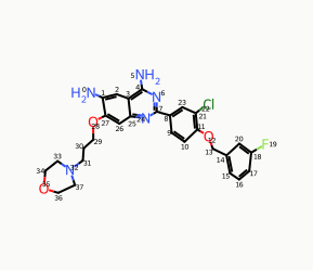 Nc1cc2c(N)nc(-c3ccc(OCc4cccc(F)c4)c(Cl)c3)nc2cc1OCCCN1CCOCC1